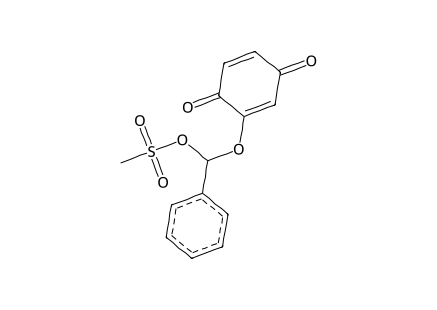 CS(=O)(=O)OC(OC1=CC(=O)C=CC1=O)c1ccccc1